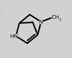 CN1CC2CC1=CN2